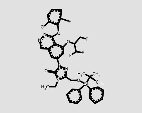 CCn1c(CO[Si](c2ccccc2)(c2ccccc2)C(C)(C)C)nn(-c2cc(OC(CF)C(F)F)c3c(Oc4c(F)cccc4Cl)nncc3c2)c1=O